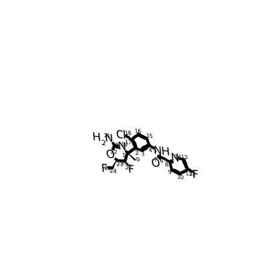 C[C@]1(c2cc(NC(=O)c3ccc(F)cn3)ccc2Cl)N=C(N)O[C@H](CF)[C@@H]1F